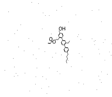 C=CC(=O)OCCc1cc(CO)ccc1-c1ccc(-c2ccc(CCCCC)cc2)c(CC)c1